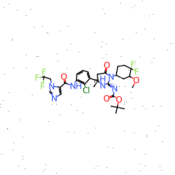 COC1CC(N2C(=O)C[C@@](C)(c3cccc(NC(=O)c4cncn4CC(F)(F)F)c3Cl)N/C2=N\C(=O)OC(C)(C)C)CCC1(F)F